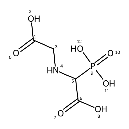 O=C(O)CNC(C(=O)O)P(=O)(O)O